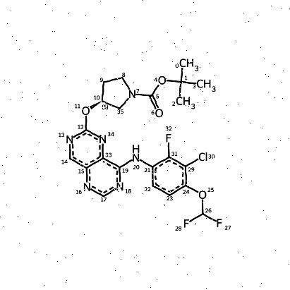 CC(C)(C)OC(=O)N1CC[C@H](Oc2ncc3ncnc(Nc4ccc(OC(F)F)c(Cl)c4F)c3n2)C1